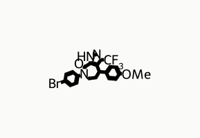 COc1ccc(C2CCN(c3ccc(Br)cc3)C(=O)c3[nH]nc(C(F)(F)F)c32)cc1